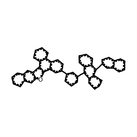 c1cc(-c2ccc3c4ccccc4c4c5cc6ccccc6cc5oc4c3c2)cc(-c2c3ccccc3c(-c3ccc4ccccc4c3)c3ccccc23)c1